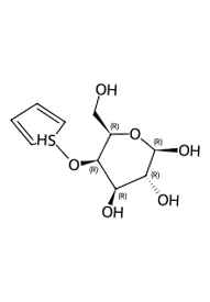 OC[C@H]1O[C@@H](O)[C@H](O)[C@@H](O)[C@H]1O[SH]1C=CC=C1